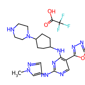 Cn1cc(Nc2ncc(-c3nnco3)c(NC3CCC(N4CCNCC4)CC3)n2)cn1.O=C(O)C(F)(F)F